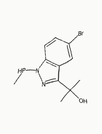 CPn1nc(C(C)(C)O)c2cc(Br)ccc21